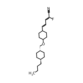 CCCC[C@H]1CC[C@H](COC2CCC(C=CC=C(F)C#N)CC2)CC1